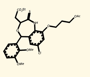 CCOC(=O)CC1OC(c2cccc(OC)c2OC)c2cc(Cl)cc(OCCCOC(C)=O)c2NC1=S